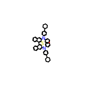 c1ccc(N(c2ccc(C3CCCCC3)cc2)c2cc3ccccc3c3c2sc2c(N(c4ccccc4)c4ccc(C5CCCCC5)cc4)cc4ccccc4c23)cc1